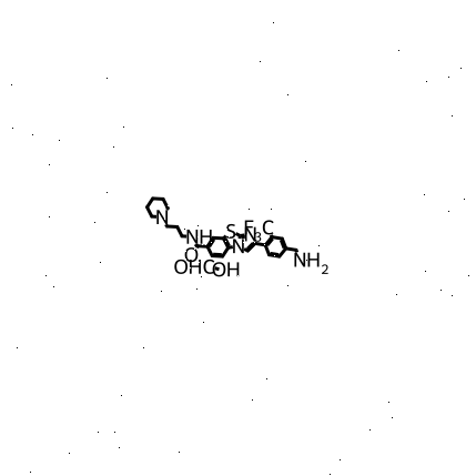 NCc1ccc(-c2cn3c(n2)sc2cc(C(=O)NCCCN4CCCCC4)ccc23)c(C(F)(F)F)c1.O=CO